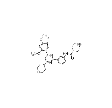 COc1ncc(-c2cc(N3CCOCC3)nc(-c3cccc(NC(=O)C4CCNCC4)c3)n2)c(OC)n1